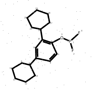 FP(F)Oc1ccc(C2CCCCC2)cc1C1CCCCC1